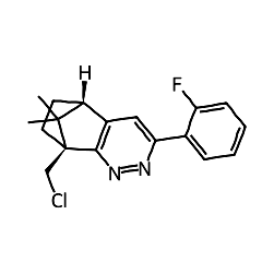 CC1(C)[C@@H]2CC[C@@]1(CCl)c1nnc(-c3ccccc3F)cc12